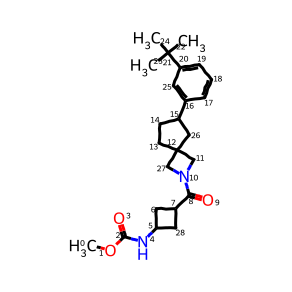 COC(=O)NC1CC(C(=O)N2CC3(CCC(c4cccc(C(C)(C)C)c4)C3)C2)C1